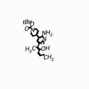 C=C/C=C\C(O)=C(/C)c1cc(C2=CCN(C(=O)OC(C)(C)C)CC2)c(N)nn1